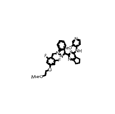 COCCOc1cc(F)c(Cn2nc(-c3nc4c(c(Nc5ccncc5OC)n3)CCC4)c3ccccc32)c(F)c1